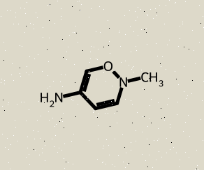 CN1C=CC(N)=CO1